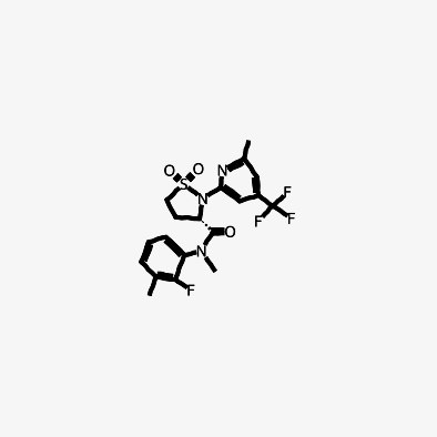 Cc1cc(C(F)(F)F)cc(N2[C@H](C(=O)N(C)c3cccc(C)c3F)CCS2(=O)=O)n1